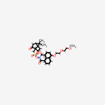 COCCOCCOc1ccc2c3c(cccc13)C(=O)N(OS(=O)(=O)CC13CCC14C(CC3=O)C4(C)C)C2O